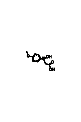 COc1ccc([C@@H](O)CC(=O)O)cc1